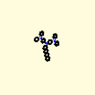 c1ccc(N(c2ccccc2)c2ccc(N(c3ccc(N(c4ccccc4)c4ccccc4)cc3)c3ccc4cc5cc6ccccc6cc5cc4c3)cc2)cc1